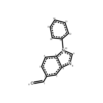 O=Cc1ccc2c(c1)ncn2-c1ccccc1